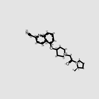 C[C@@H]1CCCN1C(=O)CN1CCC(Oc2cccc3nc(C#N)ccc23)CC1